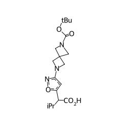 CC(C)C(C(=O)O)c1cc(N2CC3(CN(C(=O)OC(C)(C)C)C3)C2)no1